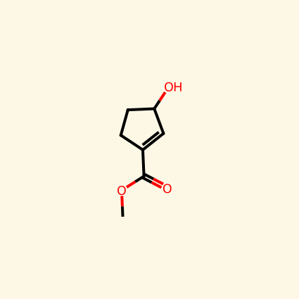 COC(=O)C1=CC(O)CC1